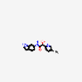 CCCCc1ccc(C(O)C(=O)Nc2ccc3cc[nH]c3c2)nc1